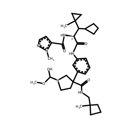 COC(O)N1CCC(C(=O)NCC2(C)CCC2)(c2cccc(NC(=O)[C@@H](NC(=O)c3ccnn3C)C(C3CCC3)C3(C)CC3)c2)C1